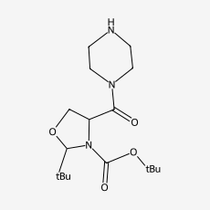 CC(C)(C)OC(=O)N1C(C(=O)N2CCNCC2)COC1C(C)(C)C